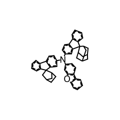 c1ccc2c(c1)-c1ccc(N(c3ccc4c(c3)C3(c5ccccc5-4)C4CC5CC(C4)CC3C5)c3ccc4c(c3)oc3ccccc34)cc1C21CC2CCC1C2